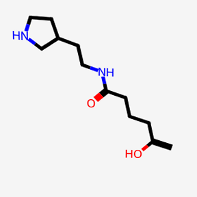 C=C(O)CCCC(=O)NCCC1CCNC1